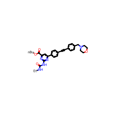 CCCCOC(=O)c1cc(-c2ccc(C#Cc3ccc(CN4CCOCC4)cc3)cc2)nc(NC(=O)NCC)n1